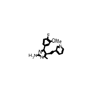 COc1cc(-c2nc(N)nc(C)c2C#Cc2cccnc2)ccc1F